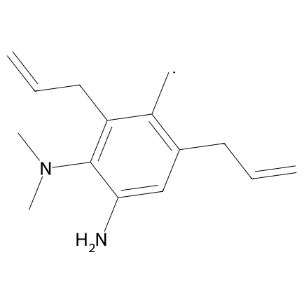 [CH2]c1c(CC=C)cc(N)c(N(C)C)c1CC=C